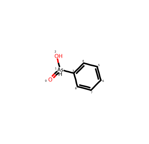 O=[AsH](O)c1ccccc1